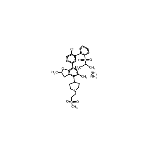 Cc1cc(-c2cc(-c3ccccc3S(=O)(=O)C(C)C)c(Cl)cn2)c2c(c1C1CCN(CCS(C)(=O)=O)CC1)CC(C)O2.NN